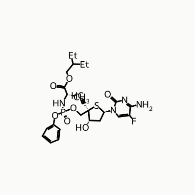 C#C[C@]1(CO[P@@](=O)(N[C@@H](C)C(=O)OCC(CC)CC)Oc2ccccc2)S[C@@H](n2cc(F)c(N)nc2=O)C[C@@H]1O